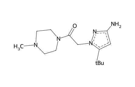 CN1CCN(C(=O)Cn2nc(N)cc2C(C)(C)C)CC1